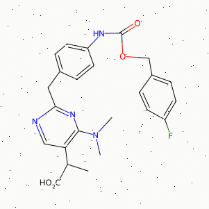 CC(C(=O)O)c1cnc(Cc2ccc(NC(=O)OCc3ccc(F)cc3)cc2)nc1N(C)C